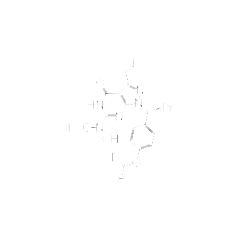 CC(C)[C@@H](c1ccc(OC(F)F)cc1)n1nc(CF)c2c(=O)[nH]c(N(C)C)nc21